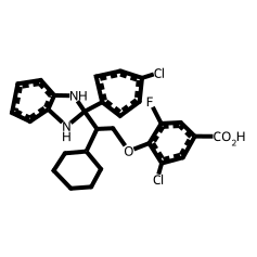 O=C(O)c1cc(F)c(OCC(C2CCCCC2)C2(c3ccc(Cl)cc3)Nc3ccccc3N2)c(Cl)c1